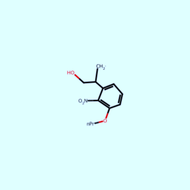 [CH2]C(CO)c1cccc(OCCC)c1[N+](=O)[O-]